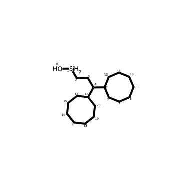 O[SiH2]CCC(C1CCCCCCC1)C1CCCCCCC1